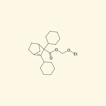 CCOCOC(=O)C1(C2CCCCC2)C(C2CCCCC2)=C2CCC1C2